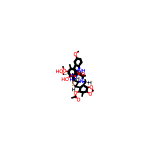 COc1ccc2[nH]c3c(c2c1)C[C@@H](CO)N[C@]31CS[C@@H]2c3c(OC(C)=O)c(C)c4c(c3[C@H](COC1=O)N1[C@@H]2C2c3c(cc(C)c(OC)c3O)CC1(C)CN2C)OCO4